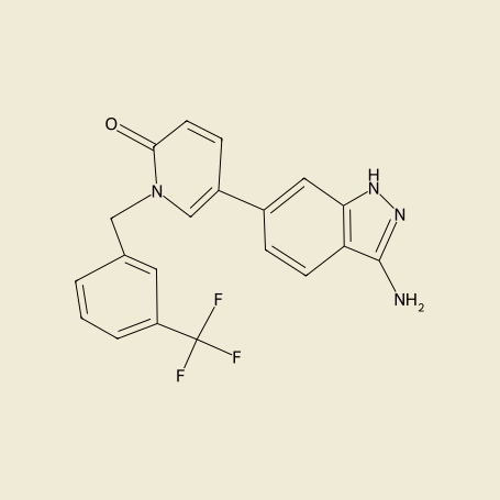 Nc1n[nH]c2cc(-c3ccc(=O)n(Cc4cccc(C(F)(F)F)c4)c3)ccc12